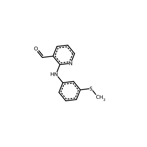 CSc1cccc(Nc2ncccc2C=O)c1